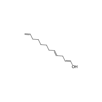 C=CCCCCCC=CCC=CO